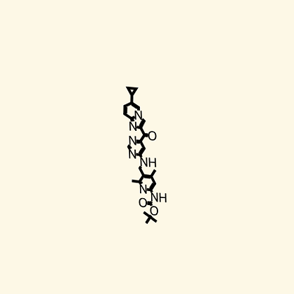 Cc1cc(NC(=O)OC(C)(C)C)nc(C)c1CNc1cc(C(=O)c2cn3cc(C4CC4)ccc3n2)ncn1